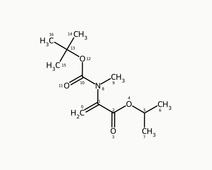 C=C(C(=O)OC(C)C)N(C)C(=O)OC(C)(C)C